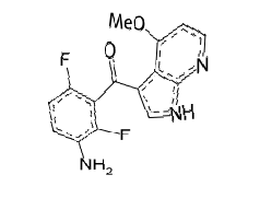 COc1ccnc2[nH]cc(C(=O)c3c(F)ccc(N)c3F)c12